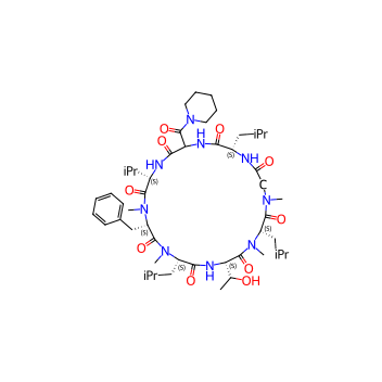 CC(C)C[C@@H]1NC(=O)CN(C)C(=O)[C@H](CC(C)C)N(C)C(=O)[C@H](C(C)O)NC(=O)[C@H](CC(C)C)N(C)C(=O)[C@H](Cc2ccccc2)N(C)C(=O)[C@H](C(C)C)NC(=O)C(C(=O)N2CCCCC2)NC1=O